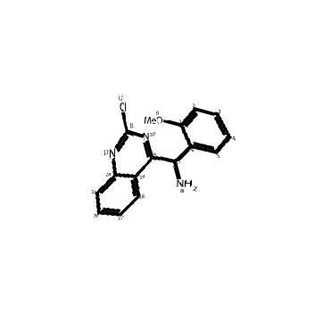 COc1ccccc1C(N)c1nc(Cl)nc2ccccc12